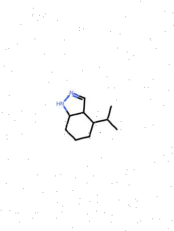 CC(C)C1CCCC2NN=CC21